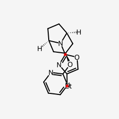 CCc1coc(N2[C@@H]3CC[C@H]2C[C@@H](Oc2ncccn2)C3)n1